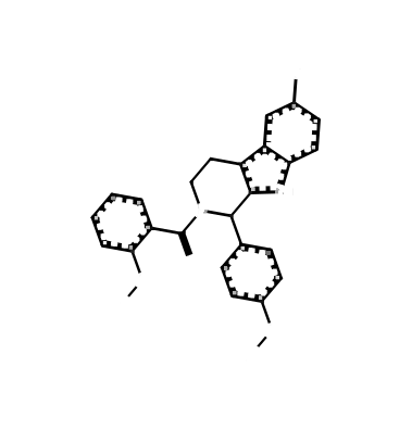 COc1ccc(C2c3[nH]c4ccc(Cl)cc4c3CCN2C(=O)c2ccccc2OC)cc1